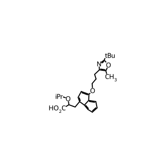 Cc1oc(C(C)(C)C)nc1CCCOc1ccc(CC(OC(C)C)C(=O)O)c2ccccc12